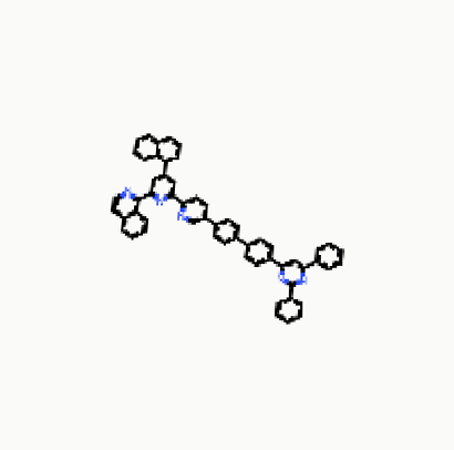 c1ccc(-c2cc(-c3ccc(-c4ccc(-c5ccc(-c6cc(-c7cccc8ccccc78)cc(-c7nccc8ccccc78)n6)nc5)cc4)cc3)nc(-c3ccccc3)n2)cc1